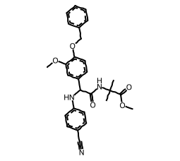 COC(=O)C(C)(C)NC(=O)C(Nc1ccc(C#N)cc1)c1ccc(OCc2ccccc2)c(OC)c1